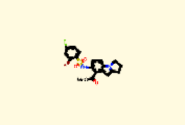 COC(=O)c1c(NS(=O)(=O)c2ccc(F)cc2Br)ccc2c1cc1n2CCC1